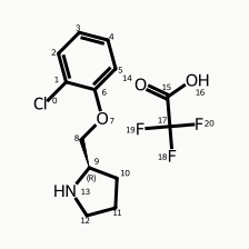 Clc1ccccc1OC[C@H]1CCCN1.O=C(O)C(F)(F)F